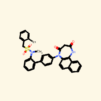 CCc1ccccc1CS(=O)(=O)N(C)c1ccccc1-c1ccc(N2C(=O)CC(=O)Nc3c2ccc2ccccc32)cc1